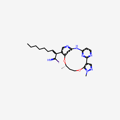 CCCCCC/C=C(\C(=N)I)c1cnc2cc1O[C@@H](C)CCOc1c(cnn1C)-c1nccc(n1)N2